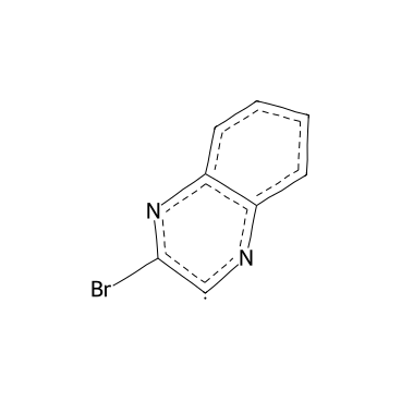 Brc1[c]nc2ccccc2n1